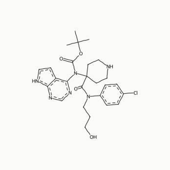 CC(C)(C)OC(=O)N(c1ncnc2[nH]ccc12)C1(C(=O)N(CCCO)c2ccc(Cl)cc2)CCNCC1